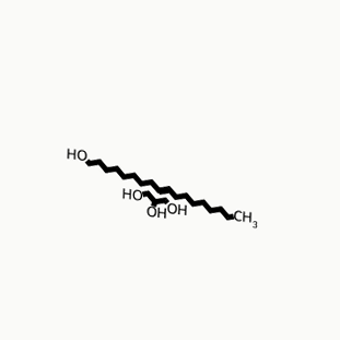 CCCCCCCCC=CCCCCCCCCO.OCC(O)CO